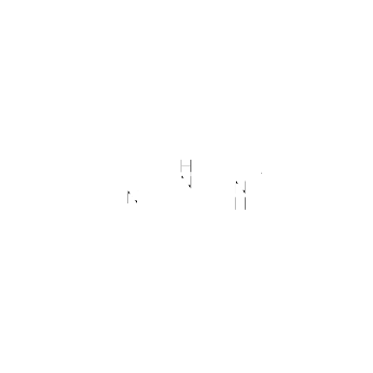 CCC(C)(C)NCCNCCN1CCCCC1